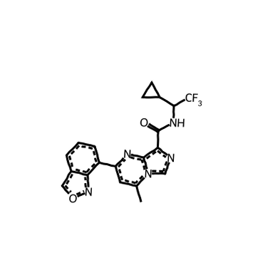 Cc1cc(-c2cccc3conc23)nc2c(C(=O)NC(C3CC3)C(F)(F)F)ncn12